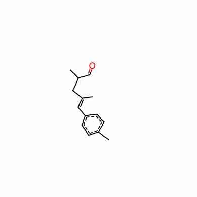 C/C(=C\c1ccc(C)cc1)CC(C)C=O